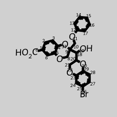 O=C(O)c1ccc2c(c1)OCC(COc1ccccc1)(C(O)C1COc3cc(Br)ccc3O1)O2